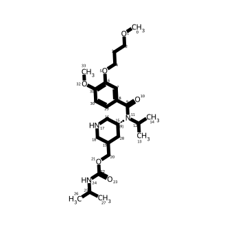 COCCCOc1cc(C(=O)N(C(C)C)[C@H]2CNCC(COC(=O)NC(C)C)C2)ccc1OC